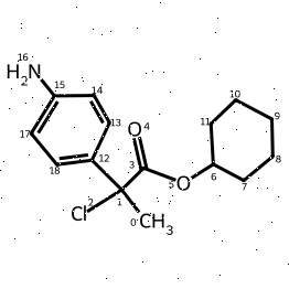 CC(Cl)(C(=O)OC1CCCCC1)c1ccc(N)cc1